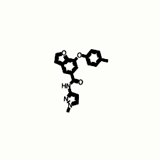 Cc1ccc(Oc2cc(C(=O)Nc3ccn(C)n3)cc3ccoc23)cc1